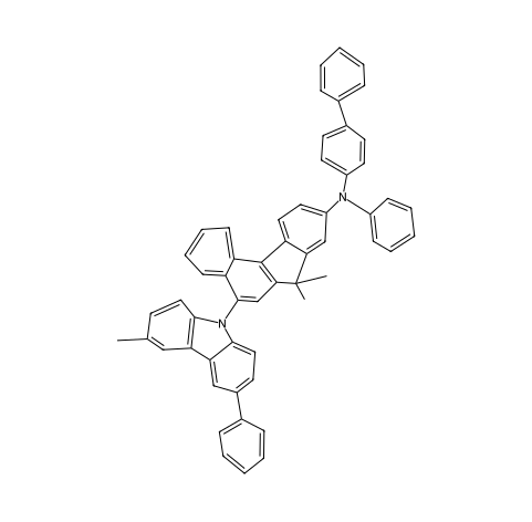 Cc1ccc2c(c1)c1cc(-c3ccccc3)ccc1n2-c1cc2c(c3ccccc13)-c1ccc(N(c3ccccc3)c3ccc(-c4ccccc4)cc3)cc1C2(C)C